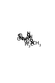 CN(C)c1ccc(-c2nc3cnccn3c2NCC(=O)N2CCN(C(=O)C3CCCO3)CC2)cc1